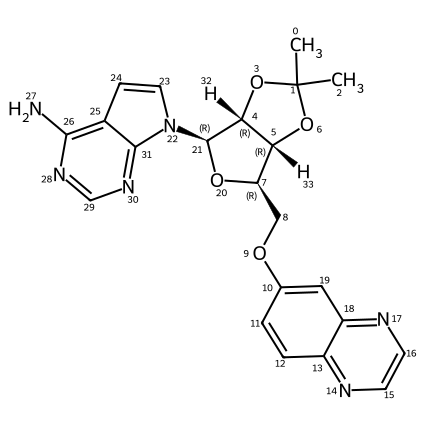 CC1(C)O[C@@H]2[C@H](O1)[C@@H](COc1ccc3nccnc3c1)O[C@H]2n1ccc2c(N)ncnc21